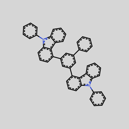 c1ccc(-c2cc(-c3cccc4c3c3ccccc3n4-c3ccccc3)cc(-c3cccc4c3c3ccccc3n4-c3ccccc3)c2)cc1